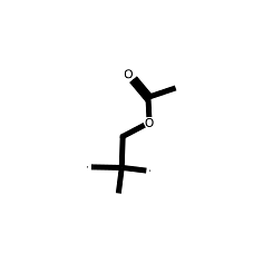 [CH2]C([CH2])(C)COC(C)=O